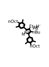 CCCCCCCCc1c(C)cc(C2=C(CC)C(CCCC)=C(c3cc(C)c(CCCCCCCC)c(C)c3)[N+]2=[N-])cc1C.[H-].[H-].[Pd]